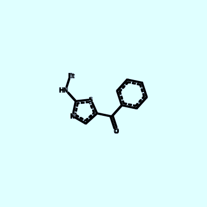 CCNc1ncc(C(=O)c2ccccc2)s1